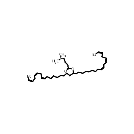 CC/C=C\C/C=C\C/C=C\CCCCCCCCC(CCCCCCCC/C=C\C/C=C\C/C=C\CC)OC(=O)CCCN(C)C